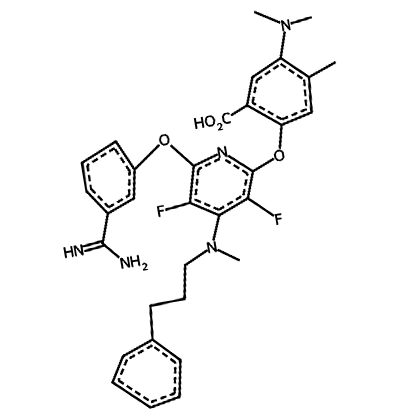 Cc1cc(Oc2nc(Oc3cccc(C(=N)N)c3)c(F)c(N(C)CCCc3ccccc3)c2F)c(C(=O)O)cc1N(C)C